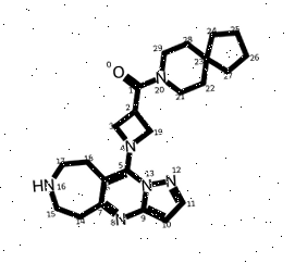 O=C(C1CN(c2c3c(nc4ccnn24)CCNCC3)C1)N1CCC2(CCCC2)CC1